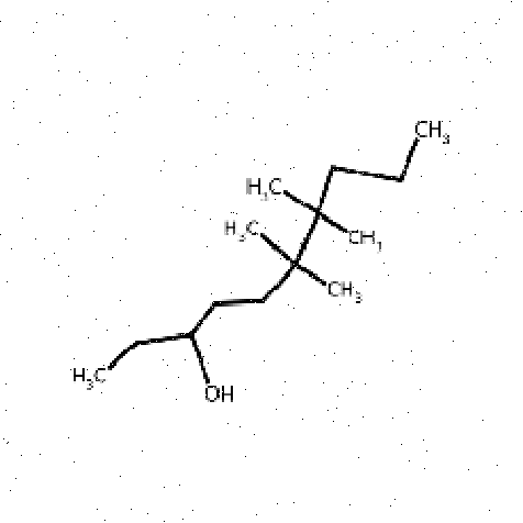 CCCC(C)(C)C(C)(C)CCC(O)CC